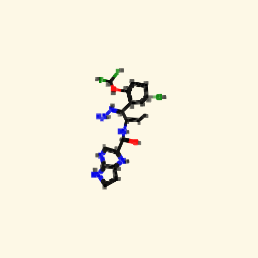 C/C=C(NC(=O)c1cnc2[nH]ccc2n1)\C(=N/N)c1cc(Cl)ccc1OC(F)F